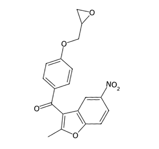 Cc1oc2ccc([N+](=O)[O-])cc2c1C(=O)c1ccc(OCC2CO2)cc1